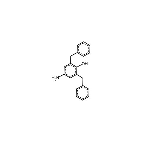 Nc1cc(Cc2ccccc2)c(O)c(Cc2ccccc2)c1